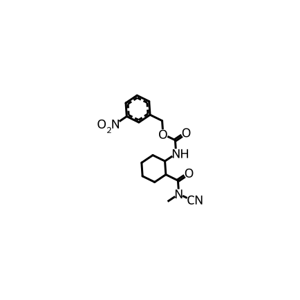 CN(C#N)C(=O)C1CCCCC1NC(=O)OCc1cccc([N+](=O)[O-])c1